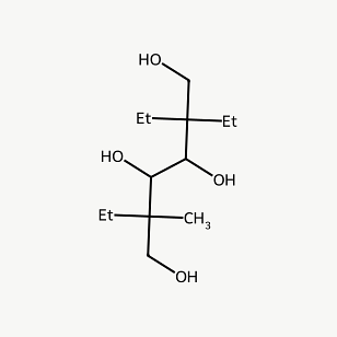 CCC(C)(CO)C(O)C(O)C(CC)(CC)CO